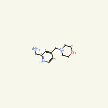 NCc1cc(CN2CCOCC2)ccn1